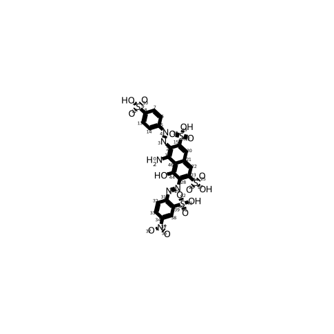 Nc1c(N=Nc2ccc(S(=O)(=O)O)cc2)c(S(=O)(=O)O)cc2cc(S(=O)(=O)O)c(N=Nc3ccc([N+](=O)[O-])cc3S(=O)(=O)O)c(O)c12